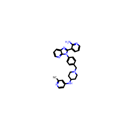 N#Cc1cc(NC2CCN(Cc3ccc(-n4c(-c5cccnc5N)nc5cccnc54)cc3)CC2)ccn1